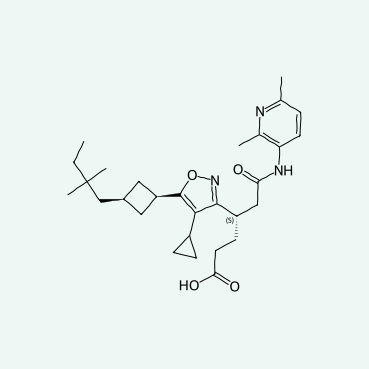 CCC(C)(C)C[C@H]1C[C@@H](c2onc([C@@H](CCC(=O)O)CC(=O)Nc3ccc(C)nc3C)c2C2CC2)C1